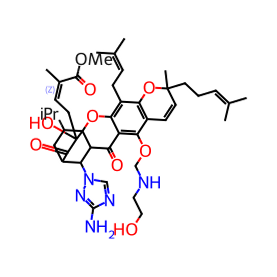 COC(=O)/C(C)=C\CC1(O)C(=O)C2CC(C(C)C)C13Oc1c(CC=C(C)C)c4c(c(OCNCCO)c1C(=O)C3C2n1cnc(N)n1)C=CC(C)(CCC=C(C)C)O4